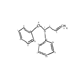 C=CCN(Oc1ccccc1)c1ccccc1